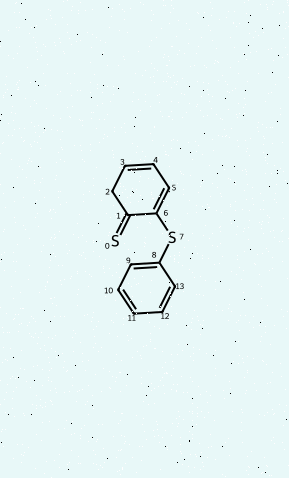 S=C1CC=C[C]=C1Sc1ccccc1